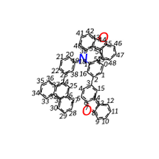 c1cc(-c2ccc3oc4ccccc4c3c2)cc(N(c2cccc(-c3cc4ccccc4c4ccccc34)c2)c2cccc3oc4ccccc4c23)c1